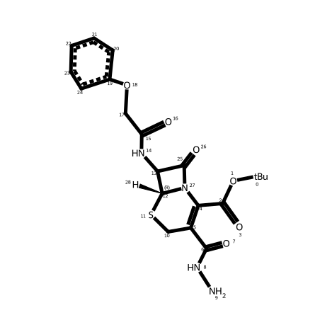 CC(C)(C)OC(=O)C1=C(C(=O)NN)CS[C@@H]2C(NC(=O)COc3ccccc3)C(=O)N12